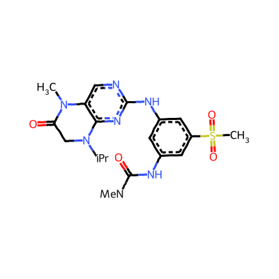 CNC(=O)Nc1cc(Nc2ncc3c(n2)N(C(C)C)CC(=O)N3C)cc(S(C)(=O)=O)c1